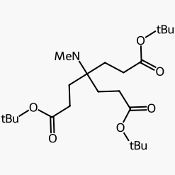 CNC(CCC(=O)OC(C)(C)C)(CCC(=O)OC(C)(C)C)CCC(=O)OC(C)(C)C